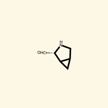 O=C[C@@H]1NCC2CC21